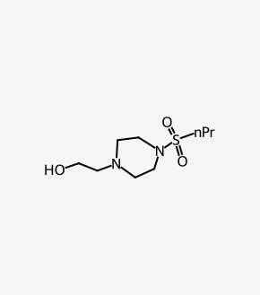 CCCS(=O)(=O)N1CCN(CCO)CC1